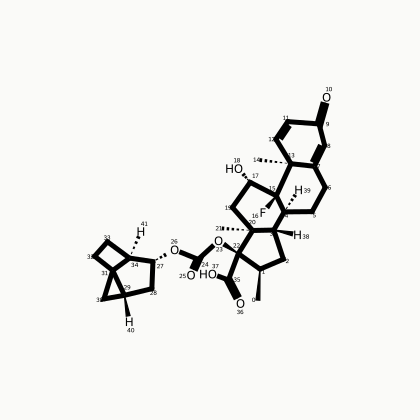 C[C@@H]1C[C@H]2[C@@H]3CCC4=CC(=O)C=C[C@]4(C)[C@@]3(F)[C@@H](O)C[C@]2(C)[C@@]1(OC(=O)O[C@@H]1C[C@@H]2CC23CC[C@@H]13)C(=O)O